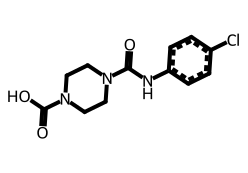 O=C(O)N1CCN(C(=O)Nc2ccc(Cl)cc2)CC1